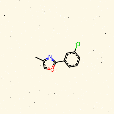 [CH2]c1coc(-c2cccc(Cl)c2)n1